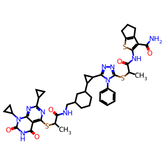 CC(Sc1nc(C2CC2)nc2c1c(=O)[nH]c(=O)n2C1CC1)C(=O)NCC1CCCC(C2CC2c2nnc(SC(C)C(=O)Nc3sc4c(c3C(N)=O)CCC4)n2-c2ccccc2)C1